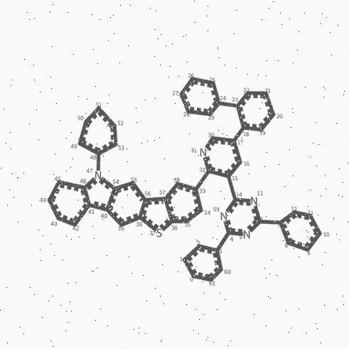 c1ccc(-c2nc(-c3ccccc3)nc(-c3cc(-c4ccccc4-c4ccccc4)cnc3-c3ccc4sc5cc6c7ccccc7n(-c7ccccc7)c6cc5c4c3)n2)cc1